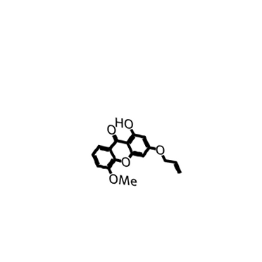 C=CCOc1cc(O)c2c(=O)c3cccc(OC)c3oc2c1